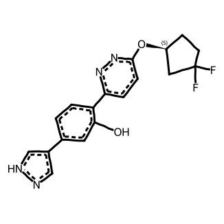 Oc1cc(-c2cn[nH]c2)ccc1-c1ccc(O[C@H]2CCC(F)(F)C2)nn1